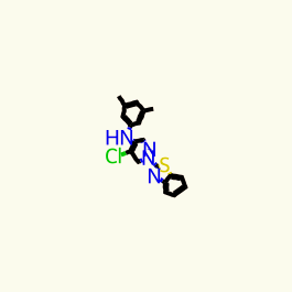 Cc1cc(C)cc(NC2=C(Cl)CN(c3nc4ccccc4s3)N=C2)c1